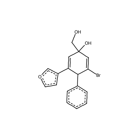 OCC1(O)C=C(Br)C(c2ccccc2)C(c2ccoc2)=C1